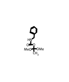 COC(C)(OC)OC(=O)NCc1ccccc1